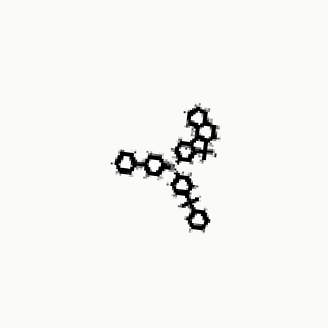 CC(C)(c1ccccc1)c1ccc(N(c2ccc(-c3ccccc3)cc2)c2ccc3c(c2)C(C)(C)c2ccc4ccccc4c2-3)cc1